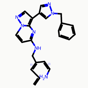 C=C/C=C(\C=C/N)CNc1ccn2ncc(-c3cnn(Cc4ccccc4)c3)c2n1